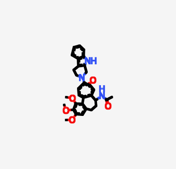 COc1cc2c(c(OC)c1OC)-c1ccc(N3CCc4c([nH]c5ccccc45)C3)c(=O)cc1C(NC(C)=O)CC2